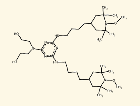 CON1C(C)(C)CC(CCCCNc2nc(NCCCCC3CC(C)(C)N(OC)C(C)(C)C3)nc(N(CCO)CCO)n2)CC1(C)C